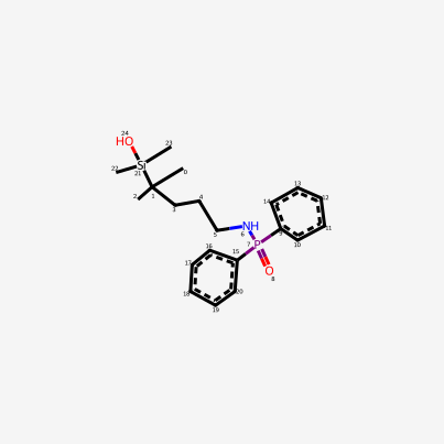 CC(C)(CCCNP(=O)(c1ccccc1)c1ccccc1)[Si](C)(C)O